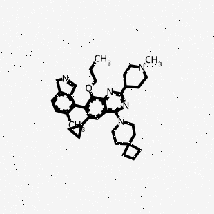 CCCOc1c(-c2c(C)ccc3c2C=NC3)c(C2CC2)cc2c(N3CCC4(CCC4)CC3)nc(C3CCN(C)CC3)nc12